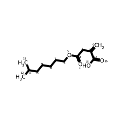 C=C(CC(=O)OCCCCCC(C)C)C(=O)O